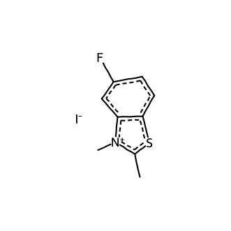 Cc1sc2ccc(F)cc2[n+]1C.[I-]